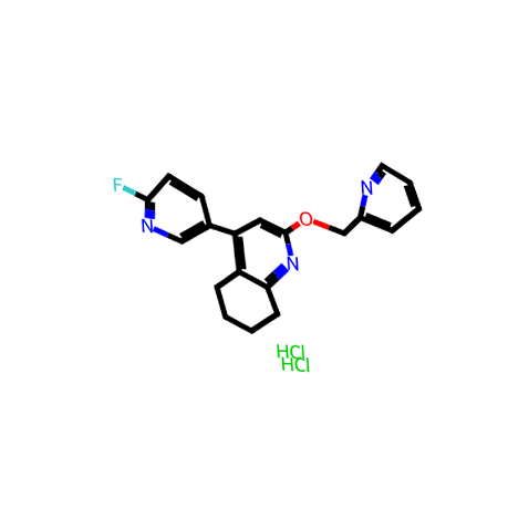 Cl.Cl.Fc1ccc(-c2cc(OCc3ccccn3)nc3c2CCCC3)cn1